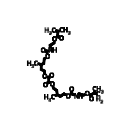 C=C(C)C(=O)OCCNC(=O)OCCC(C)CCOC(=O)C(=O)OCCC(C)CCOC(=O)NCCOC(=O)C(=C)C